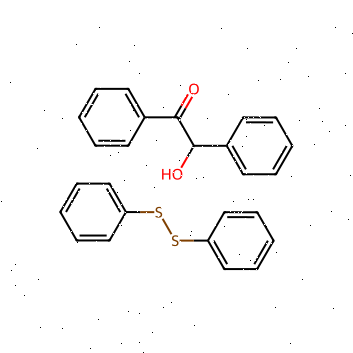 O=C(c1ccccc1)C(O)c1ccccc1.c1ccc(SSc2ccccc2)cc1